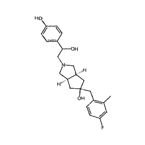 Cc1cc(F)ccc1CC1(O)C[C@H]2CN(CC(O)c3ccc(O)cc3)C[C@H]2C1